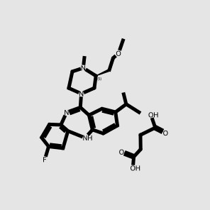 COCC[C@H]1CN(C2=Nc3ccc(F)cc3Nc3ccc(C(C)C)cc32)CCN1C.O=C(O)CCC(=O)O